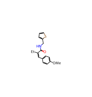 CCC(=Cc1ccc(OC)cc1)C(=O)NCc1cccs1